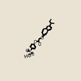 CCC(C)c1ccc2cc(OCC(=O)Oc3ccc(S(=O)(=O)O)cc3)ccc2c1